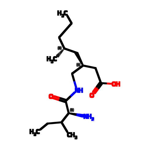 CCC[C@@H](C)C[C@H](CNC(=O)[C@@H](N)C(C)CC)CC(=O)O